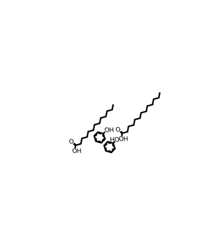 CCCCCCCCCCCCC(=O)O.CCCCCCCCCCCCC(=O)O.Oc1ccccc1.Oc1ccccc1